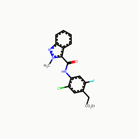 CCOC(=O)Cc1cc(Cl)c(NC(=O)c2c3ccccc3nn2C)cc1F